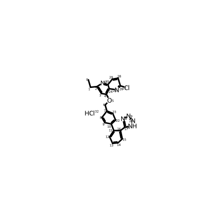 CCc1cc(OCc2ccc(-c3ccccc3-c3nnn[nH]3)cc2)c2nc(Cl)ccc2n1.Cl